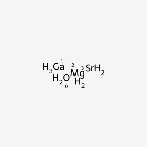 O.[GaH3].[MgH2].[SrH2]